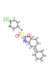 [O-][S+](Cc1ccc(Cl)cc1)c1nc2cc(-c3ccccc3)ccc2o1